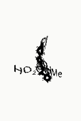 COc1ccccc1C1CC1(NS(=O)(=O)c1ccc(-c2ccc(Cl)cc2)s1)C(=O)O